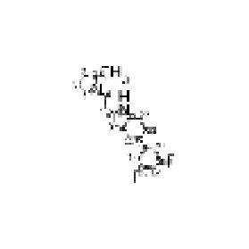 C[C@@H]1CCCN1CCc1cc2cc(-c3cc(F)cc(F)c3)ccc2[nH]1